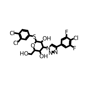 OCC1OC(Sc2ccc(Cl)c(Cl)c2)C(O)C(n2cc(-c3cc(F)c(Cl)c(F)c3)nn2)C1O